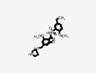 CCc1ccc(OC)c(S(=O)(=O)Nc2noc3cc(CO[C@@H]4CCNC4)cc(OC)c23)c1